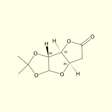 CC1(C)OC2O[C@@H]3CC(=O)O[C@@H]3[C@H]2O1